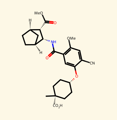 COC(=O)[C@H]1[C@@H]2CC[C@@H](C2)[C@H]1NC(=O)c1cc(O[C@H]2CC[C@@](C)(C(=O)O)CC2)c(C#N)cc1OC